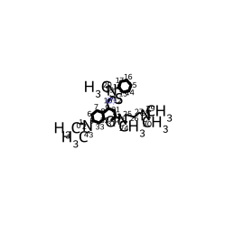 CCN(CC)c1ccc2c(/C=C3\Sc4ccccc4N3C)cc(N(C)CCCN(C)C)[o+]c2c1